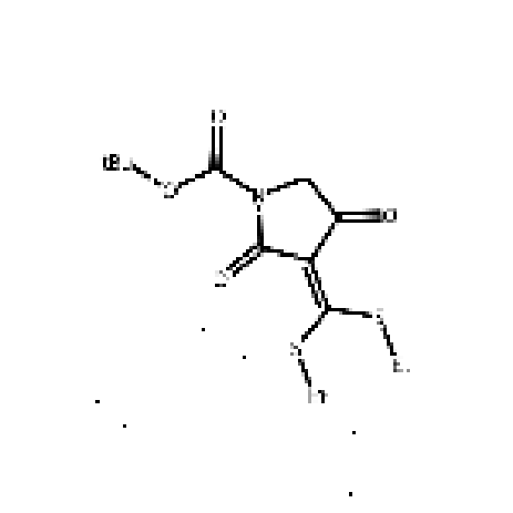 CCSC(SCC)=C1C(=O)CN(C(=O)OC(C)(C)C)C1=O